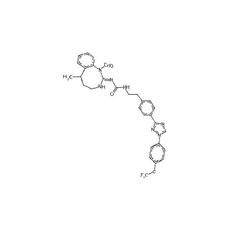 CC1CCN/C(=N\C(=O)NCCc2ccc(-c3ncn(-c4ccc(OC(F)(F)F)cc4)n3)cc2)N(C=O)c2ccccc21